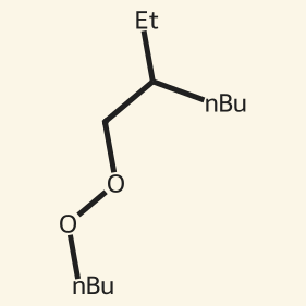 CCCCOOCC(CC)CCCC